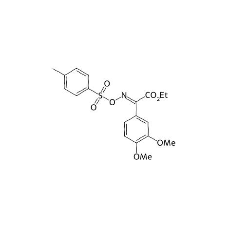 CCOC(=O)/C(=N/OS(=O)(=O)c1ccc(C)cc1)c1ccc(OC)c(OC)c1